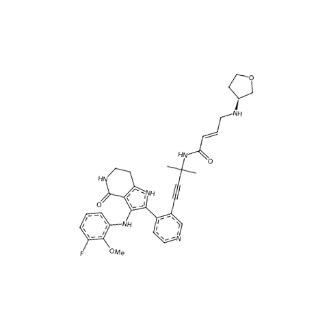 COc1c(F)cccc1Nc1c(-c2ccncc2C#CC(C)(C)NC(=O)/C=C/CN[C@H]2CCOC2)[nH]c2c1C(=O)NCC2